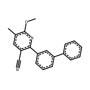 COc1nc(-c2cccc(-c3ccccc3)c2)c(C#N)cc1C